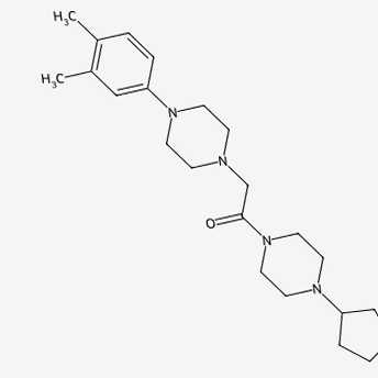 Cc1ccc(N2CCN(CC(=O)N3CCN(C4CCCC4)CC3)CC2)cc1C